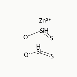 [O-][SiH]=S.[O-][SiH]=S.[Zn+2]